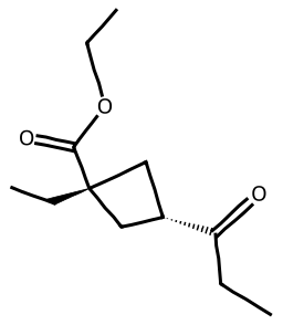 CCOC(=O)[C@]1(CC)C[C@H](C(=O)CC)C1